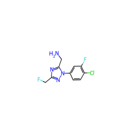 NCc1nc(CF)nn1-c1ccc(Cl)c(F)c1